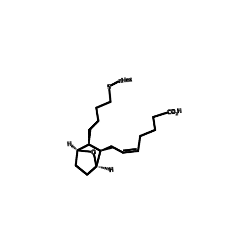 CCCCCCSCCCC[C@H]1[C@@H](C/C=C\CCCC(=O)O)[C@H]2CC[C@@H]1O2